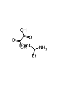 CCCCCC(N)CC.O=C(O)C(=O)O